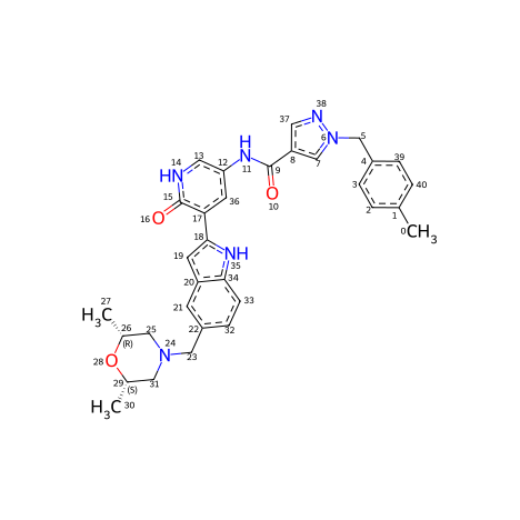 Cc1ccc(Cn2cc(C(=O)Nc3c[nH]c(=O)c(-c4cc5cc(CN6C[C@@H](C)O[C@@H](C)C6)ccc5[nH]4)c3)cn2)cc1